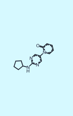 O=c1ccccn1-c1cnc(NC2CCCC2)nc1